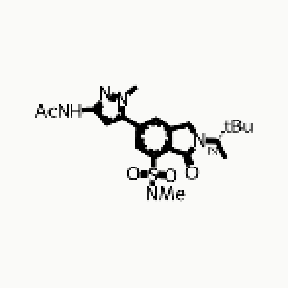 CNS(=O)(=O)c1cc(-c2cc(NC(C)=O)nn2C)cc2c1C(=O)N([C@@H](C)C(C)(C)C)C2